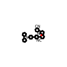 N#CC1=Cc2c(n(-c3cc(-c4ccc(-n5c6ccccc6c6ccccc65)cc4)ccc3-c3c#cccc3C#N)c3ccccc23)CC1